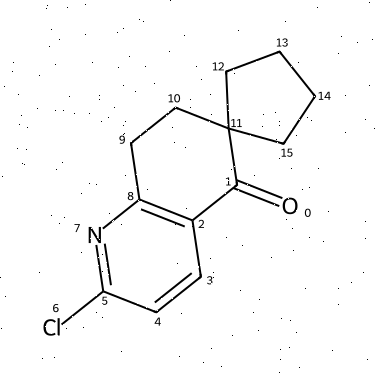 O=C1c2ccc(Cl)nc2CCC12CCCC2